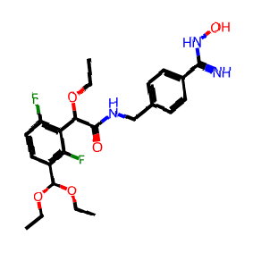 CCOC(OCC)c1ccc(F)c(C(OCC)C(=O)NCc2ccc(C(=N)NO)cc2)c1F